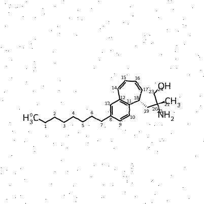 CCCCCCCCc1ccc2c(c1)C=CC=C[C@@H]2C[C@@](C)(N)CO